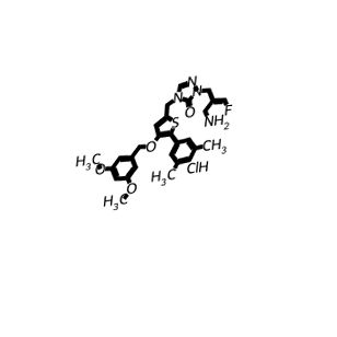 COc1cc(COc2cc(Cn3cnn(C/C(=C/F)CN)c3=O)sc2-c2cc(C)cc(C)c2)cc(OC)c1.Cl